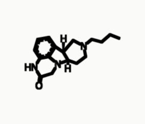 CCCCN1CC[C@H]2[C@@H](C1)c1cccc3c1N2CC(=O)N3